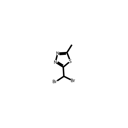 Cc1nnc(C(Br)Br)s1